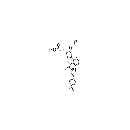 COc1ccc(CCNC(=O)N(C)c2cccnc2-c2ccc(CCC(=O)O)c(OCC3CC3)c2)cc1